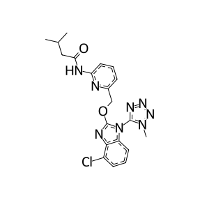 CC(C)CC(=O)Nc1cccc(COc2nc3c(Cl)cccc3n2-c2nnnn2C)n1